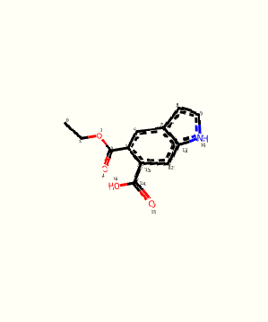 CCOC(=O)c1cc2cc[nH]c2cc1C(=O)O